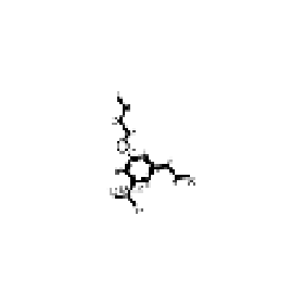 CCCCOc1cc(CCC)cc([C](C)C)c1